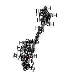 C[C@@H]1O[C@@H](O[C@H]2[C@H](OC(=O)[C@]34CCC(C)(C)C[C@H]3C3=CC[C@@H]5[C@@]6(C)CCC(=O)C(C)(C)[C@@H]6CC[C@@]5(C)[C@]3(C)C[C@H]4O)O[C@H](CO)[C@H](NC(=O)CCCCCNC(=O)COCCOCCOCC(=O)NCCCO[C@@H]3O[C@H](CO)[C@@H](O[C@@H]4O[C@H](CO)[C@H](O[C@H]5O[C@H](CO)[C@H](O)[C@H](O)[C@H]5O)[C@H](O)[C@H]4O)[C@H](O)[C@H]3O)[C@@H]2O)[C@H](O)[C@H](O)[C@H]1O[C@@H]1OC[C@@H](O)[C@H](O)[C@H]1O